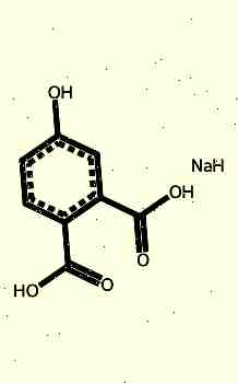 O=C(O)c1ccc(O)cc1C(=O)O.[NaH]